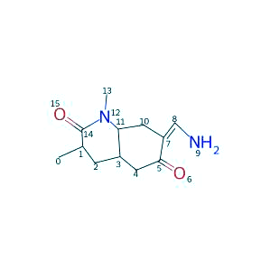 CC1CC2CC(=O)C(=CN)CC2N(C)C1=O